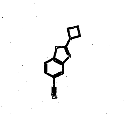 C#Cc1ccc2oc(N3CCC3)nc2c1